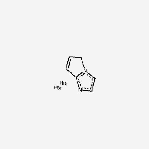 Br.Br.C1=Cc2nccn2C1